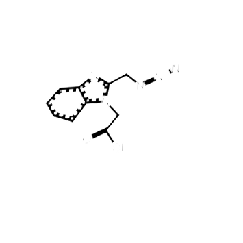 [N-]=[N+]=NCc1nc2ccccc2n1CC(=O)O